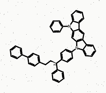 c1ccc(-c2ccc(CC[C@H](c3ccccc3)c3ccc(-n4c5ccccc5c5cc6c7ccccc7n(-c7ccccc7)c6cc54)cc3)cc2)cc1